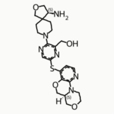 N[C@@H]1COCC12CCN(c1ncc(Sc3ccnc4c3OC[C@@H]3COCCN43)nc1CO)CC2